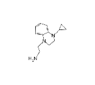 NCCN1CCN(C2CC2)c2ccccc21